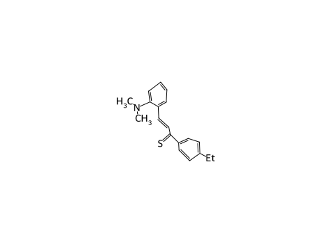 CCc1ccc(C(=S)C=Cc2ccccc2N(C)C)cc1